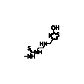 CNC(=S)NCCNCc1csc(O)n1